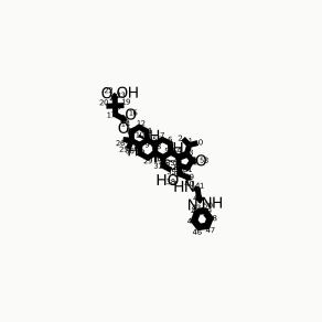 CC(C)C1=C2[C@H]3CC[C@@H]4[C@@]5(C)CC[C@H](OC(=O)CC(C)(C)C(=O)O)C(C)(C)[C@@H]5CC[C@@]4(C)[C@]3(C)CC[C@@]2([C@@H](O)CNCc2nc3ccccc3[nH]2)CC1=O